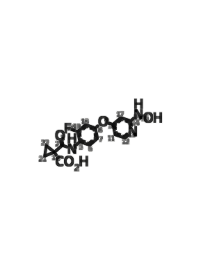 O=C(O)C1(C(=O)Nc2ccc(Oc3ccnc(NO)c3)cc2F)CC1